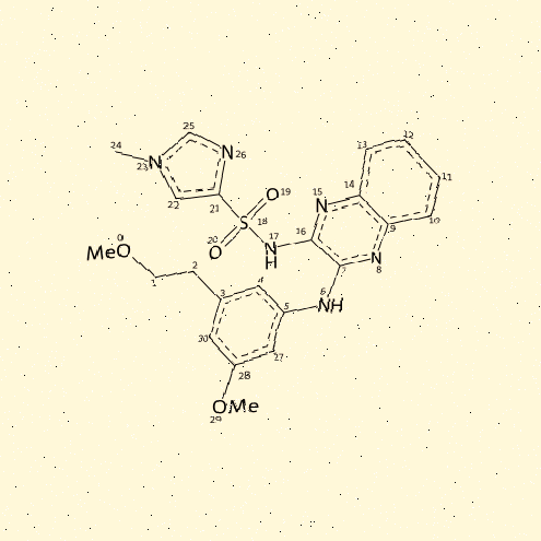 COCCc1cc(Nc2nc3ccccc3nc2NS(=O)(=O)c2cn(C)cn2)cc(OC)c1